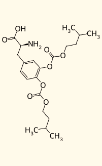 CC(C)CCOC(=O)Oc1ccc(C[C@H](N)C(=O)O)cc1OC(=O)OCCC(C)C